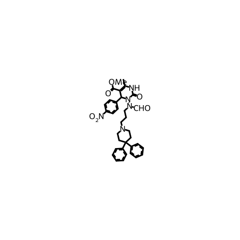 COC(=O)C1=C(C)NC(=O)N(N(C=O)CCCN2CCC(c3ccccc3)(c3ccccc3)CC2)C1c1ccc([N+](=O)[O-])cc1